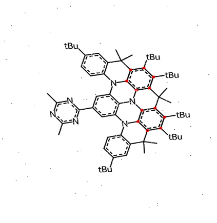 Cc1nc(C)nc(-c2cc(N3c4ccc(C(C)(C)C)cc4C(C)(C)c4cc(C(C)(C)C)ccc43)c(N3c4ccc(C(C)(C)C)cc4C(C)(C)c4cc(C(C)(C)C)ccc43)c(N3c4ccc(C(C)(C)C)cc4C(C)(C)c4cc(C(C)(C)C)ccc43)c2)n1